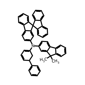 CC1(C)c2ccccc2-c2ccc(N(C3=CC=CC(c4ccccc4)C3)c3ccc4c(c3)C3(c5ccccc5-c5ccccc53)c3ccccc3-4)cc21